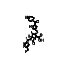 C[C@H]([C@H]1C(=O)N2C(C(=O)O)=C(SC3CNC(C(=O)N4CCNCC4)C3)[C@H](C)[C@H]12)n1cc(CF)nn1